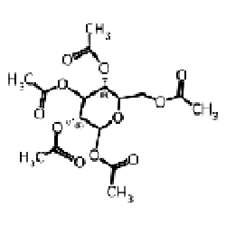 CC(=O)OCC1OC(OC(C)=O)[C@H](OC(C)=O)C(OC(C)=O)[C@@H]1OC(C)=O